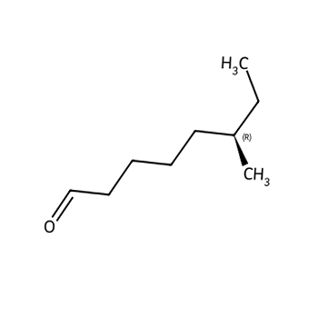 CC[C@@H](C)CCCCC=O